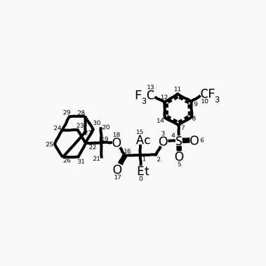 CCC(COS(=O)(=O)c1cc(C(F)(F)F)cc(C(F)(F)F)c1)(C(C)=O)C(=O)OC(C)(C)C12CC3CC(CC(C3)C1)C2